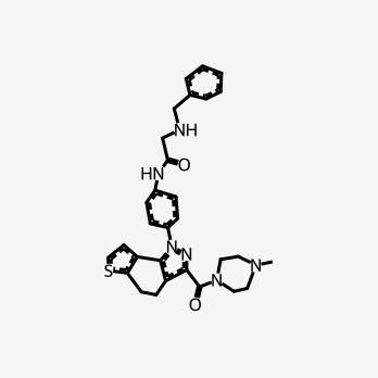 CN1CCN(C(=O)c2nn(-c3ccc(NC(=O)CNCc4ccccc4)cc3)c3c2CCc2sccc2-3)CC1